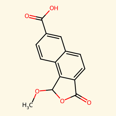 COC1OC(=O)c2ccc3cc(C(=O)O)ccc3c21